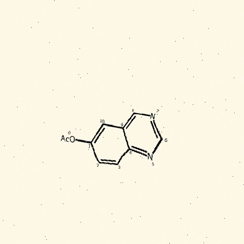 CC(=O)Oc1ccc2ncncc2c1